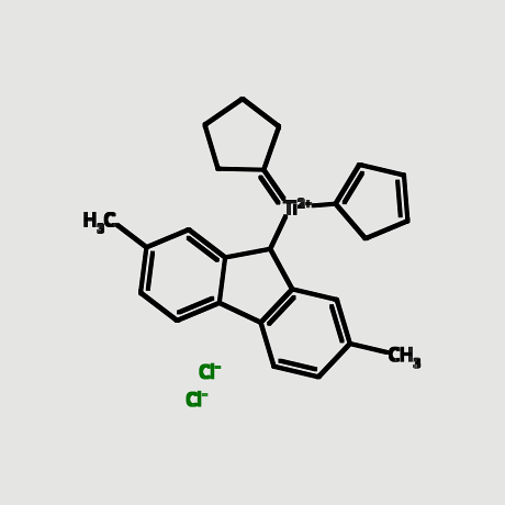 Cc1ccc2c(c1)[CH]([Ti+2]([C]1=CC=CC1)=[C]1CCCC1)c1cc(C)ccc1-2.[Cl-].[Cl-]